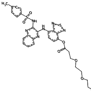 Cc1ccc(S(=O)(=O)Nc2nc3ccccc3nc2Nc2ccc(OC(=O)CCOCCOCCN=[N+]=[N-])c3nsnc23)cc1